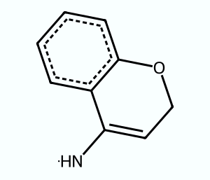 [NH]C1=CCOc2ccccc21